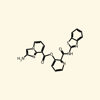 Nc1cn2cccc(C(=O)Oc3cccnc3C(=O)Nc3nc4ccccc4s3)c2n1